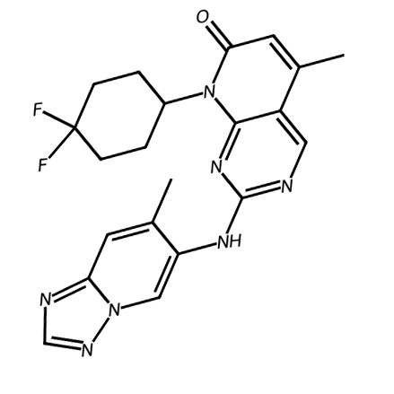 Cc1cc2ncnn2cc1Nc1ncc2c(C)cc(=O)n(C3CCC(F)(F)CC3)c2n1